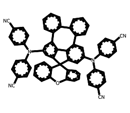 N#Cc1ccc(N(c2ccc(C#N)cc2)c2cc3c4c(c2)C2(c5ccccc5Oc5ccccc52)c2cc(N(c5ccc(C#N)cc5)c5ccc(C#N)cc5)cc(c2-4)-c2ccccc2-c2ccccc2-3)cc1